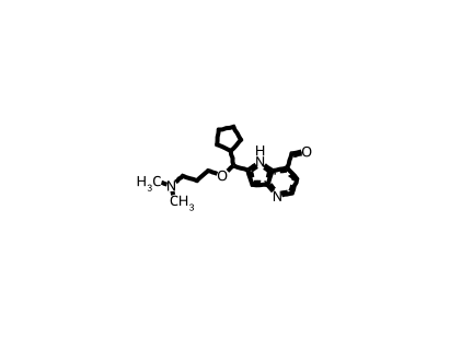 CN(C)CCCOC(c1cc2nccc(C=O)c2[nH]1)C1CCCC1